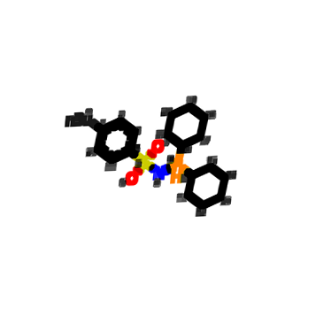 CCCCc1ccc(S(=O)(=O)N=[PH](C2CCCCC2)C2CCCCC2)cc1